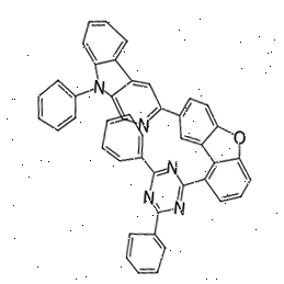 c1ccc(-c2nc(-c3ccccc3)nc(-c3cccc4oc5ccc(-c6cc7c8ccccc8n(-c8ccccc8)c7cn6)cc5c34)n2)cc1